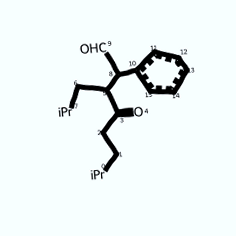 CC(C)CCC(=O)C(CC(C)C)C(C=O)c1ccccc1